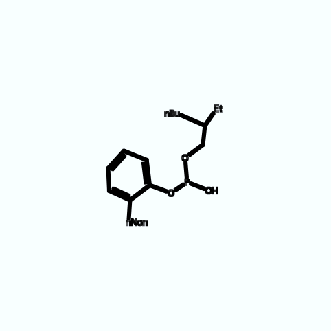 CCCCCCCCCc1ccccc1OP(O)OCC(CC)CCCC